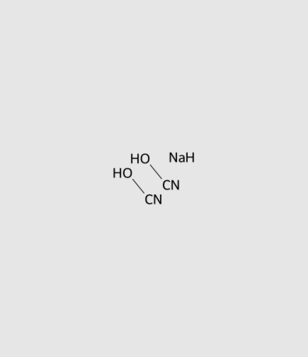 N#CO.N#CO.[NaH]